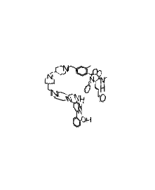 CNC(=O)C(CCC=O)N(C=O)C(=O)c1ccc(CN2CCC(CN3CCC(CN4CCN5c6cc(-c7ccccc7O)nnc6NCC5C4)CC3)CC2)cc1C